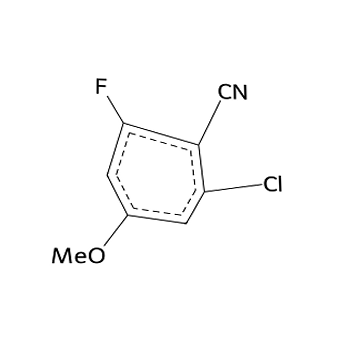 COc1cc(F)c(C#N)c(Cl)c1